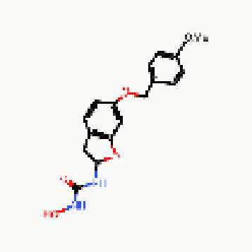 COc1ccc(COc2ccc3c(c2)OC(NC(=O)NO)C3)cc1